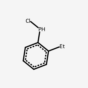 CCc1ccccc1PCl